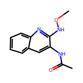 CONc1nc2ccccc2cc1NC(C)=O